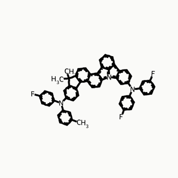 Cc1cccc(N(c2ccc(F)cc2)c2ccc3c(c2)C(C)(C)c2ccc4c(ccc5c4c4cccc6c7ccc(N(c8ccc(F)cc8)c8cccc(F)c8)cc7n5c64)c2-3)c1